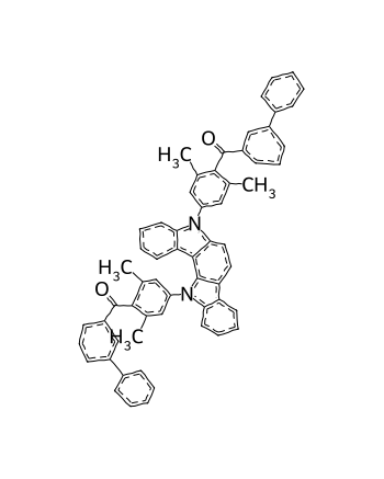 Cc1cc(-n2c3ccccc3c3c2ccc2c4ccccc4n(-c4cc(C)c(C(=O)c5cccc(-c6ccccc6)c5)c(C)c4)c23)cc(C)c1C(=O)c1cccc(-c2ccccc2)c1